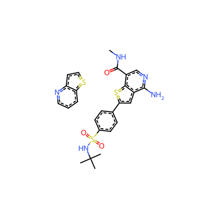 CNC(=O)c1cnc(N)c2cc(-c3ccc(S(=O)(=O)NC(C)(C)C)cc3)sc12.c1cnc2ccsc2c1